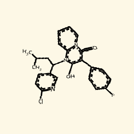 CC(C)CC(c1ccc(Cl)nc1)[n+]1c(O)c(-c2ccc(F)cc2)c(=O)n2ccccc21